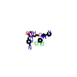 CNC(=O)[C@H](Cc1ccc(C#N)cc1)NC(=O)CCCOc1cc(-c2cccnc2)nn1-c1ccc(Cl)c(Cl)c1